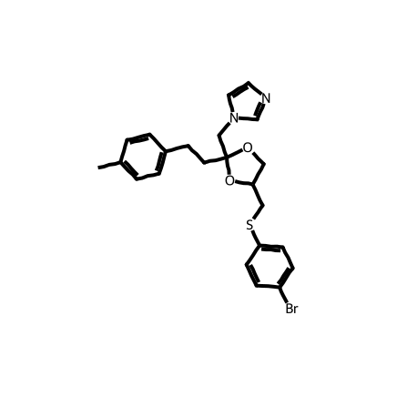 Cc1ccc(CCC2(Cn3ccnc3)OCC(CSc3ccc(Br)cc3)O2)cc1